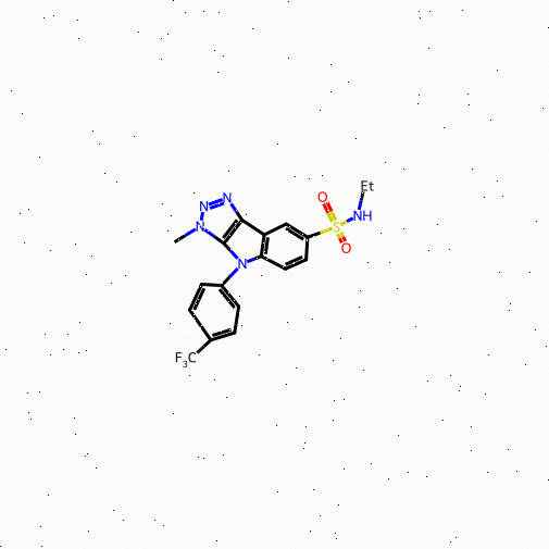 CCNS(=O)(=O)c1ccc2c(c1)c1nnn(C)c1n2-c1ccc(C(F)(F)F)cc1